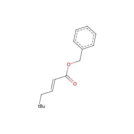 CC(C)(C)C/C=C/C(=O)OCc1ccccc1